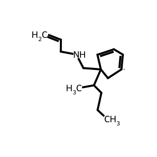 C=CCNCC1(C(C)CCC)C=CC=[C]C1